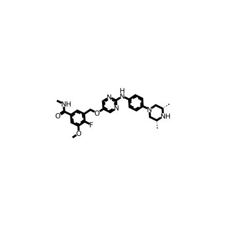 CNC(=O)c1cc(COc2cnc(Nc3ccc(N4C[C@@H](C)N[C@@H](C)C4)cc3)nc2)c(F)c(OC)c1